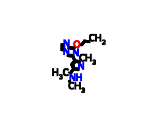 C=CCCOc1nc(-c2cc([C@@H](C)NCC)cnc2C)cn2ccnc12